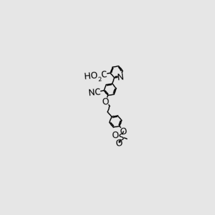 CS(=O)(=O)Oc1ccc(CCOc2ccc(-c3ncccc3C(=O)O)cc2C#N)cc1